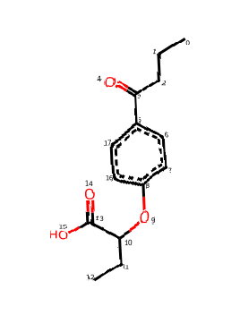 CCCC(=O)c1ccc(OC(CC)C(=O)O)cc1